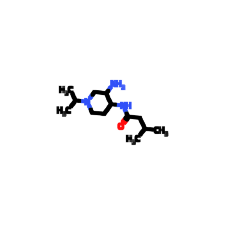 CC(C)CC(=O)NC1CCN(C(C)C)CC1N